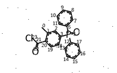 Cc1cc(P(=O)(c2ccccc2)c2ccccc2)ccc1C(=O)Cl